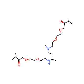 CC(CCN(C)CCOCCOCC(=O)C(C)C)NCCOCCOCC(=O)C(C)C